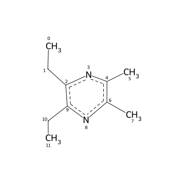 CCc1nc(C)c(C)nc1CC